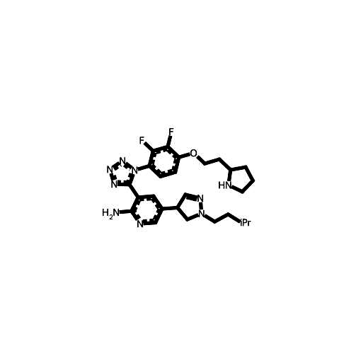 CC(C)CCN1CC(c2cnc(N)c(-c3nnnn3-c3ccc(OCCC4CCCN4)c(F)c3F)c2)C=N1